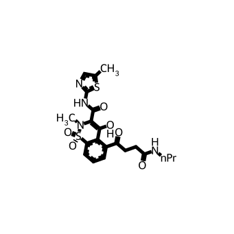 CCCNC(=O)CCC(=O)c1cccc2c1C(O)=C(C(=O)Nc1ncc(C)s1)N(C)S2(=O)=O